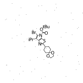 CC(C)c1c(Br)n(C(=O)OC(C)(C)C)c2sc(C3CCC4(CC3)OCCO4)nc12